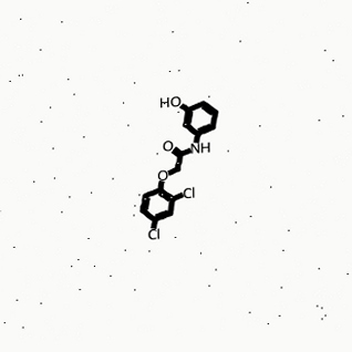 O=C(COc1ccc(Cl)cc1Cl)Nc1cccc(O)c1